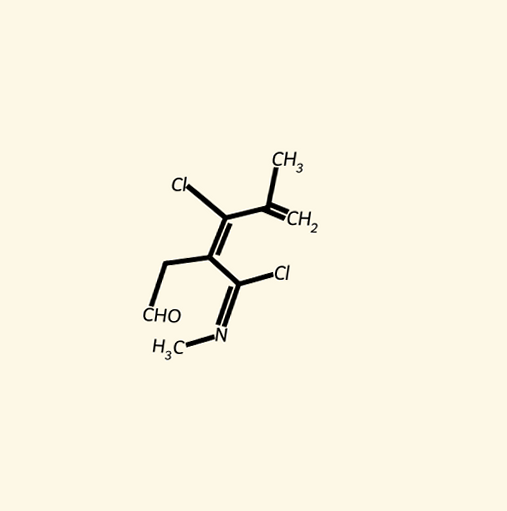 C=C(C)/C(Cl)=C(CC=O)\C(Cl)=N/C